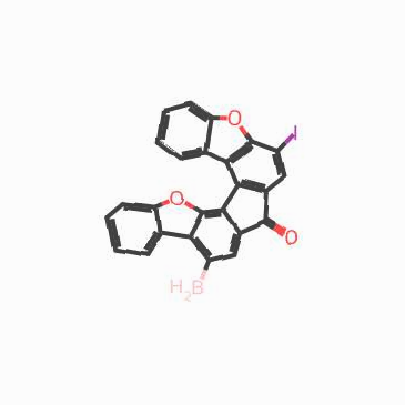 Bc1cc2c(c3oc4ccccc4c13)-c1c(cc(I)c3oc4ccccc4c13)C2=O